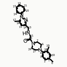 Cc1ccc(N2CCN(C(=O)CNCc3cc(C)n(-c4ccccc4)n3)CC2)c(C)c1